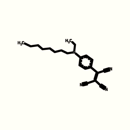 CCCCCCCCN(CC)c1ccc(C(C#N)=C(C#N)C#N)cc1